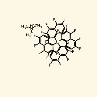 C[NH+](C)C.Fc1ccc2c([B-](c3c(F)c(F)c(F)c4c(F)c(F)ccc34)(c3c(F)c(F)c(F)c4c(F)c(F)ccc34)c3c(F)c(F)c(F)c4c(F)c(F)ccc34)c(F)c(F)c(F)c2c1F